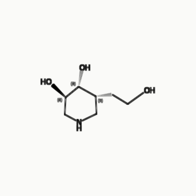 OCC[C@@H]1CNC[C@@H](O)[C@@H]1O